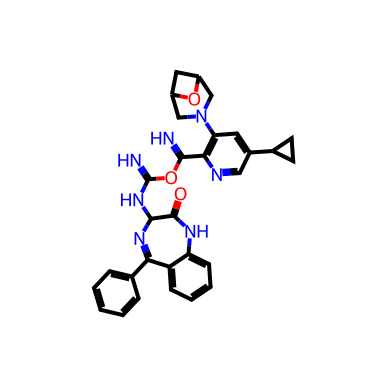 N=C(NC1N=C(c2ccccc2)c2ccccc2NC1=O)OC(=N)c1ncc(C2CC2)cc1N1CC2CC(C1)O2